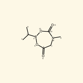 CC(C)B1OC(=O)CN(C)C(=O)O1